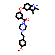 COc1ccc(CCN2CCN(C(=O)c3cccc(Oc4ccc5[nH]c(C)c(C)c5c4)c3)CC2)cc1